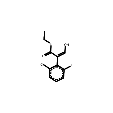 CCOC(=O)C(=CO)c1c(F)cccc1Cl